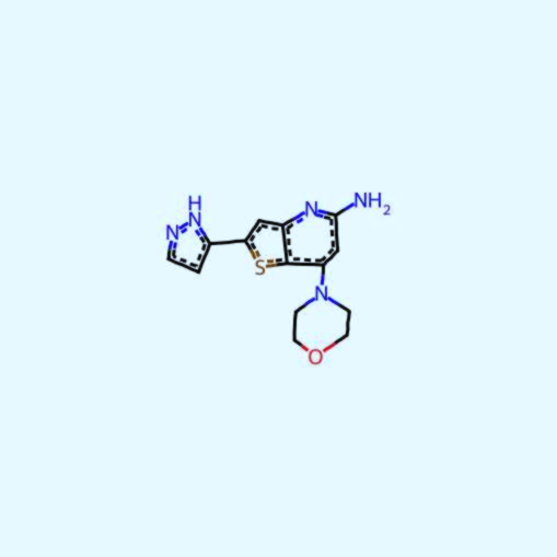 Nc1cc(N2CCOCC2)c2sc(-c3ccn[nH]3)cc2n1